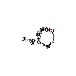 CO[C@H]1C[C@@H]2CC[C@@H](C)[C@@](O)(O2)C(=O)C(=O)N2CCCC[C@H]2C(=O)O[C@H]([C@@H](C)C[C@@H]2CC[C@@H](OCCC[SH](C)(C)=O)[C@H](OC)C2)CC(=O)[C@H](C)/C=C(\C)[C@@H](O)[C@@H](OC)C(=O)[C@H](C)C[C@H](C)/C=C/C=C/C=C/1C